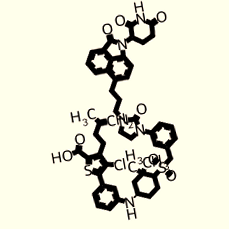 C=C(C)CCc1c(C(=O)O)sc(-c2cccc(N[C@H]3CCC(S(=O)(=O)Cc4cccc(N5CCN(CCCc6ccc7c8c(cccc68)C(=O)N7C6CCC(=O)NC6=O)C5=O)c4)C(C)(C)C3)c2)c1Cl